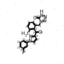 Cc1cccc(Cn2nn[nH]c2=O)c1C(=O)c1ccn(-c2cccc(F)c2)n1